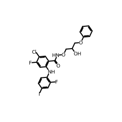 O=C(NOCC(O)COc1ccccc1)c1cc(Cl)c(F)cc1Nc1ccc(I)cc1F